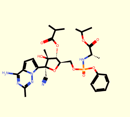 Cc1nc(N)c2ccc([C@]3(C#N)O[C@H](COP(=O)(N[C@@H](C)C(=O)OC(C)C)Oc4ccccc4)[C@@H](OC(=O)C(C)C)[C@@]3(C)O)n2n1